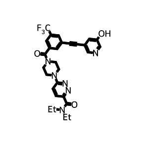 CCN(CC)C(=O)c1ccc(N2CCN(C(=O)c3cc(C#Cc4cncc(O)c4)cc(C(F)(F)F)c3)CC2)nn1